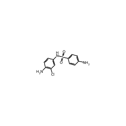 Nc1ccc(S(=O)(=O)Nc2ccc(N)c(Cl)c2)cc1